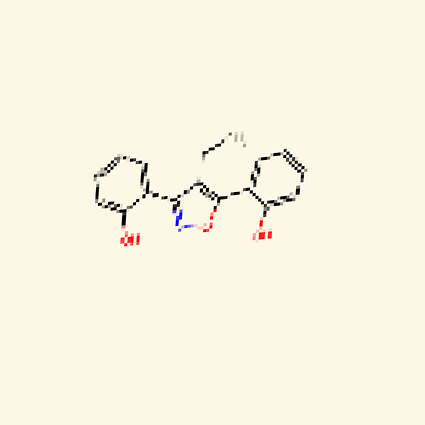 CCc1c(-c2ccccc2O)noc1-c1ccccc1O